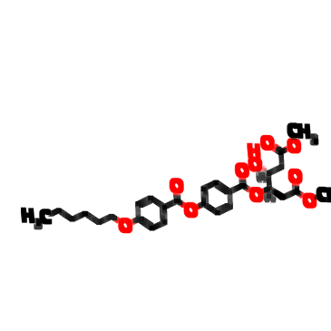 CCCCCCOc1ccc(C(=O)Oc2ccc(C(=O)O[C@H](CC(=O)OC)[C@H](O)CC(=O)OC)cc2)cc1